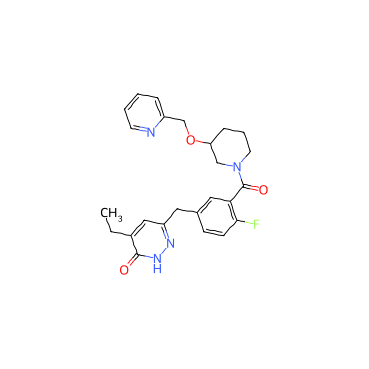 CCc1cc(Cc2ccc(F)c(C(=O)N3CCCC(OCc4ccccn4)C3)c2)n[nH]c1=O